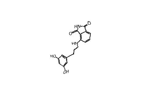 O=C1NC(=O)c2c(NCCCc3cc(O)cc(O)c3)cccc21